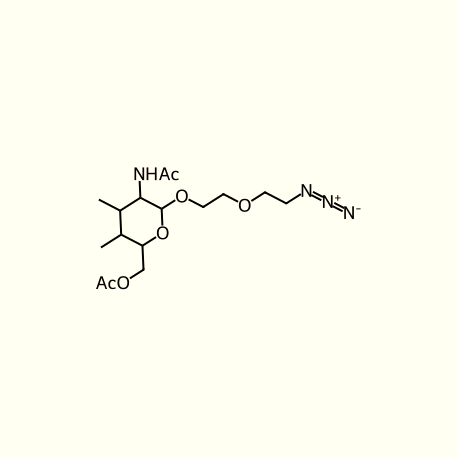 CC(=O)NC1C(OCCOCCN=[N+]=[N-])OC(COC(C)=O)C(C)C1C